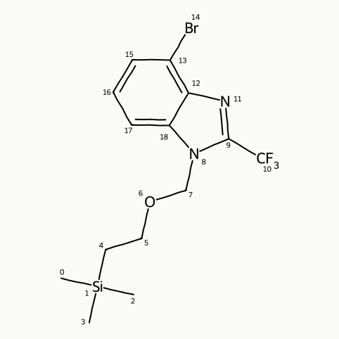 C[Si](C)(C)CCOCn1c(C(F)(F)F)nc2c(Br)cccc21